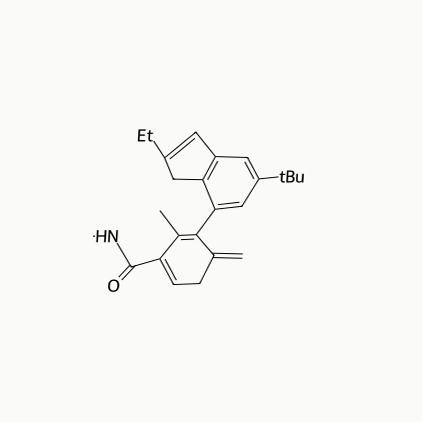 C=C1CC=C(C([NH])=O)C(C)=C1c1cc(C(C)(C)C)cc2c1CC(CC)=C2